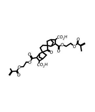 C=C(C)C(=O)OCCOC(=O)C1C(C(=O)O)C2CC1C1(CCC3(CC4CC3C(C(=O)OCCOC(=O)C(=C)C)C4C(=O)O)C1=O)C2